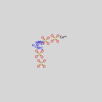 O=S(=O)([O-])[O-].O=S(=O)([O-])[O-].O=S(=O)([O-])[O-].O=S(=O)([O-])[O-].[Ce+4].[NH4+].[NH4+].[NH4+].[NH4+]